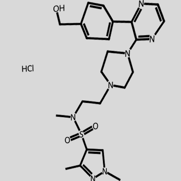 Cc1nn(C)cc1S(=O)(=O)N(C)CCN1CCN(c2nccnc2-c2ccc(CO)cc2)CC1.Cl